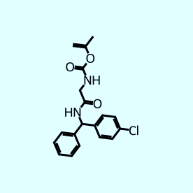 C=C(C)OC(=O)NCC(=O)NC(c1ccccc1)c1ccc(Cl)cc1